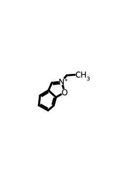 CC[n+]1cc2ccccc2o1